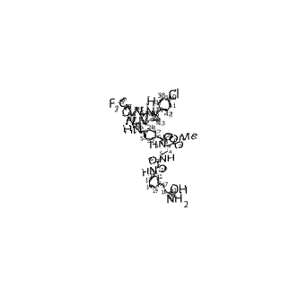 COC(=O)[C@H](CCNC(=O)C(=O)Nc1cccc(CCC(N)O)c1)NC(=O)c1ccc(Nc2nc(NC3(c4ccc(Cl)cc4)CC3)nc(OCC(F)(F)F)n2)cc1